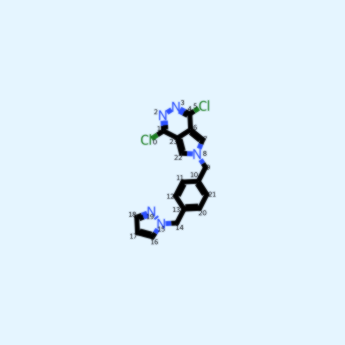 Clc1nnc(Cl)c2cn(Cc3ccc(Cn4cccn4)cc3)cc12